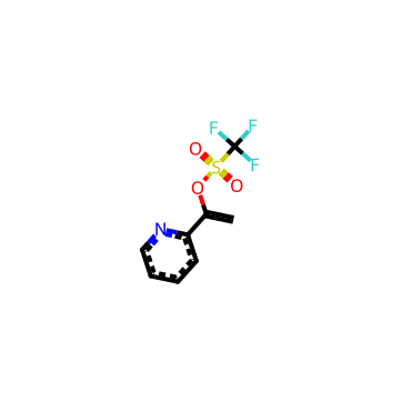 C=C(OS(=O)(=O)C(F)(F)F)c1ccccn1